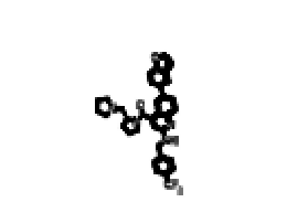 O=C(c1cc(NCc2ccc(C(F)(F)F)cc2)nc2ccc(-c3ccc4occc4c3)cc12)N1CCC[C@H]1CN1CCCC1